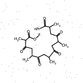 CCCC(=O)C(C)CC(=O)C(C)CC(=O)C(C)CC(=O)C(C)CC(=O)C(C)C(=O)OF